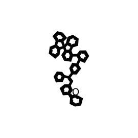 C(=C(/c1ccccc1)c1ccc(-c2ccccc2-c2cccc3c2-c2ccccc2C32c3ccccc3-c3ccccc32)cc1)/c1cccc2c1oc1ccccc12